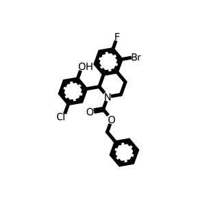 O=C(OCc1ccccc1)N1CCc2c(ccc(F)c2Br)C1c1cc(Cl)ccc1O